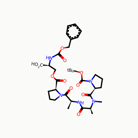 C[C@H](NC(=O)[C@H](C)N(C)C(=O)[C@@H]1CCCN1C(=O)OC(C)(C)C)C(=O)N1CCC[C@H]1C(=O)OC[C@H](NC(=O)OCc1ccccc1)C(=O)O